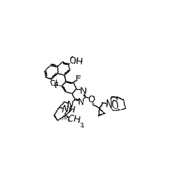 C[C@]12CCC(CN(C3=NC(OCC4(CN5CC6CCC(C5)O6)CC4)=NC4C(F)=C(c5cc(O)cc6cccc(Cl)c56)C(F)=CC34)C1)N2